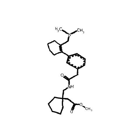 COC(=O)CC1(CNC(=O)Cc2cccc(C3=C(CN(C)C)CCCC3)c2)CCCCC1